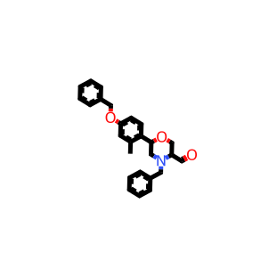 Cc1cc(OCc2ccccc2)ccc1C1CN(Cc2ccccc2)C(C=O)CO1